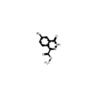 COC(=O)c1n[nH]c(=O)c2cc(Br)ccc12